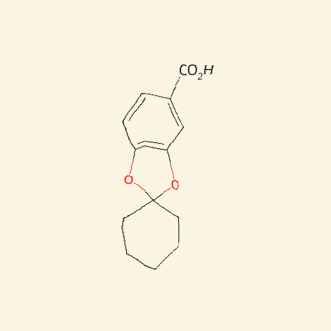 O=C(O)c1ccc2c(c1)OC1(CCCCC1)O2